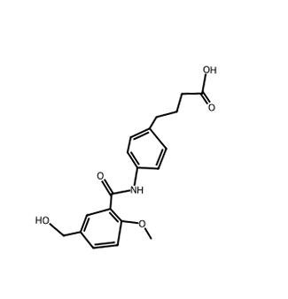 COc1ccc(CO)cc1C(=O)Nc1ccc(CCCC(=O)O)cc1